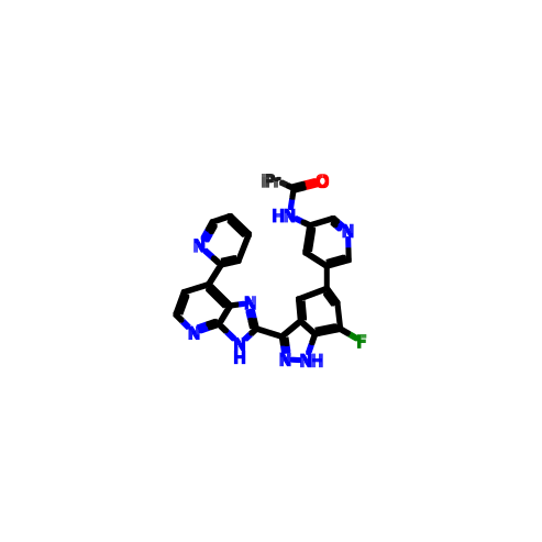 CC(C)C(=O)Nc1cncc(-c2cc(F)c3[nH]nc(-c4nc5c(-c6ccccn6)ccnc5[nH]4)c3c2)c1